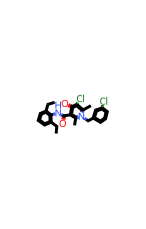 CCc1cccc(CC)c1NC(=O)c1c(C)n(Cc2cccc(Cl)c2)c(C)c(Cl)c1=O